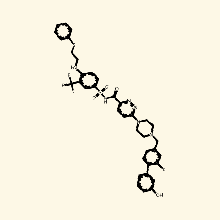 O=C(NS(=O)(=O)c1ccc(NCCSc2ccccc2)c(C(F)(F)F)c1)c1ccc(N2CCN(Cc3ccc(-c4cccc(O)c4)c(F)c3)CC2)nn1